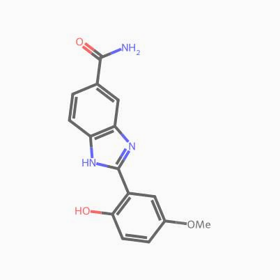 COc1ccc(O)c(-c2nc3cc(C(N)=O)ccc3[nH]2)c1